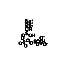 O=S(=O)([O-])OOS(=O)(=O)O.O=S(O)O.O=S([O-])[O-].[Na+].[Na+].[Na+]